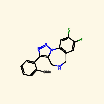 COc1ccccc1-c1nnn2c1CNCc1cc(F)c(F)cc1-2